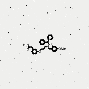 COc1ccc(CN(CCCOc2cccc(CC(N)=O)c2)CC(c2ccccc2)c2ccccc2)c(F)c1